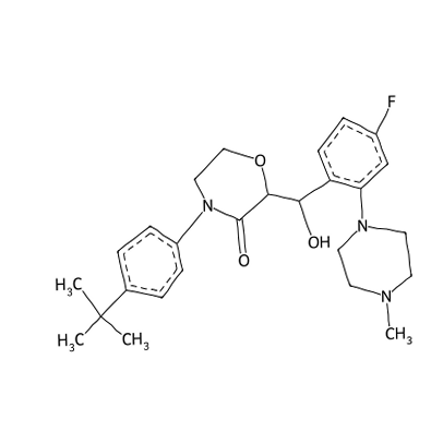 CN1CCN(c2cc(F)ccc2C(O)C2OCCN(c3ccc(C(C)(C)C)cc3)C2=O)CC1